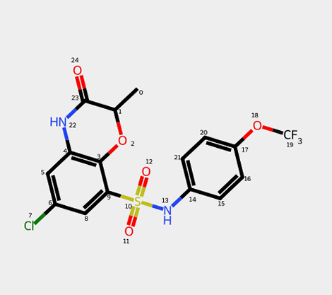 CC1Oc2c(cc(Cl)cc2S(=O)(=O)Nc2ccc(OC(F)(F)F)cc2)NC1=O